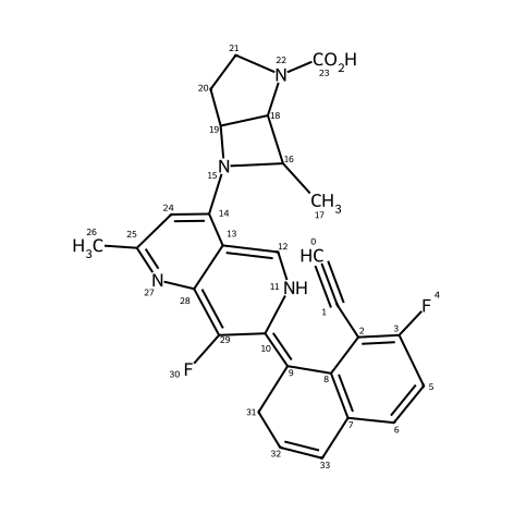 C#Cc1c(F)ccc2c1C(=C1NC=c3c(N4C(C)C5C4CCN5C(=O)O)cc(C)nc3=C1F)CC=C2